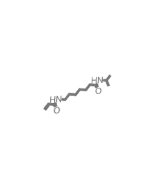 C=CC(=O)NCCCCCCC(=O)NC(C)C